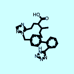 CCC(C)C(CCc1ncnn1Cc1ccc(-c2ccccc2-c2nnn[nH]2)cc1)C(=O)O